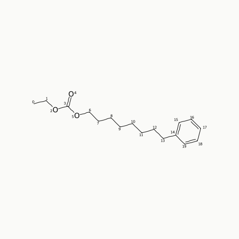 CCOC(=O)OCCCCCCCCc1ccccc1